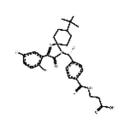 C[C@H](c1ccc(C(=O)NCCC(=O)O)cc1)N1C(=O)C(c2cc(Cl)ccc2F)=NC12CCC(C(C)(C)C)CC2